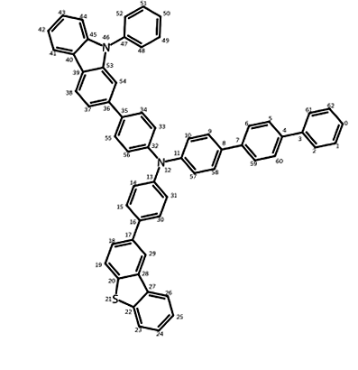 c1ccc(-c2ccc(-c3ccc(N(c4ccc(-c5ccc6sc7ccccc7c6c5)cc4)c4ccc(-c5ccc6c7ccccc7n(-c7ccccc7)c6c5)cc4)cc3)cc2)cc1